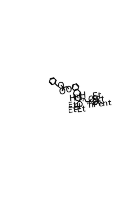 CCCCC[C@@H](CC[C@H]1C(O[Si](CC)(CC)CC)C[C@@H]2Cc3c(cccc3OCC(=O)OCc3ccccc3)C[C@@H]21)O[Si](CC)(CC)CC